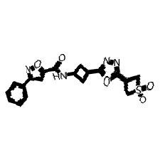 O=C(NC1CC(c2nnc(C3CS(=O)(=O)C3)o2)C1)c1cc(-c2ccccc2)no1